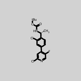 C[C@@H](NC(=O)OC(C)(C)C)c1ccc(-c2cc(Cl)ncc2F)cc1Cl